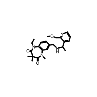 CCN1C(=O)C(C)(C)C(=O)N(C)c2cc(CNC(C)c3cccnc3COC)ccc21